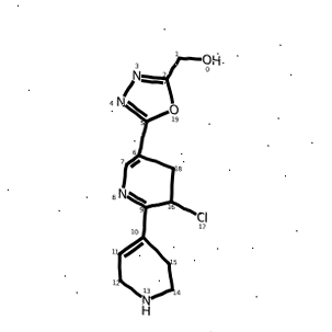 OCc1nnc(C2=CN=C(C3=CCNCC3)C(Cl)C2)o1